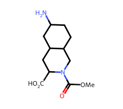 COC(=O)N1CC2CCC(N)CC2CC1C(=O)O